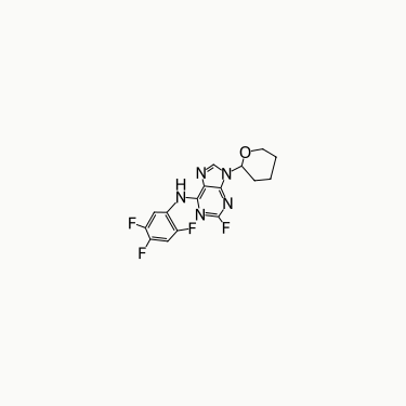 Fc1nc(Nc2cc(F)c(F)cc2F)c2ncn(C3CCCCO3)c2n1